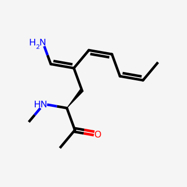 C\C=C/C=C\C(=C/N)C[C@H](NC)C(C)=O